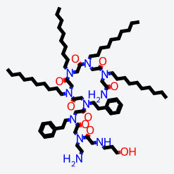 CCCCCCCCCCN(CC(N)=O)C(=O)CN(CCCCCCCCCC)C(=O)CN(CCCCCCCCCC)C(=O)CN(CCCCCCCCCC)C(=O)CN(CCc1ccccc1)C(=O)CN(CCc1ccccc1)C(=O)CN(CCN)C(=O)CNCCCO